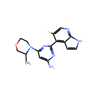 CC1COCCN1c1cc(N)nc(-c2c(F)cnc3[nH]ccc23)n1